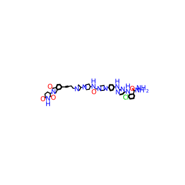 NNC(=O)c1ccccc1Nc1nc(Nc2ccc(N3CCN(C(=O)NC4CCN(C5CN(CCC#Cc6ccc7c(c6)CN(C6CCC(=O)NC6=O)C7=O)C5)CC4)CC3)cc2)ncc1Cl